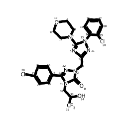 O=c1n(Cc2nc(N3CCOCC3)n(-c3ccccc3Cl)n2)nc(-c2ccc(Cl)cc2)n1CC(O)C(F)(F)F